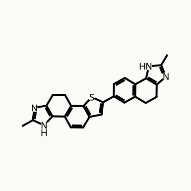 Cc1nc2c([nH]1)-c1ccc(-c3cc4ccc5c(c4s3)CCc3nc(C)[nH]c3-5)cc1CC2